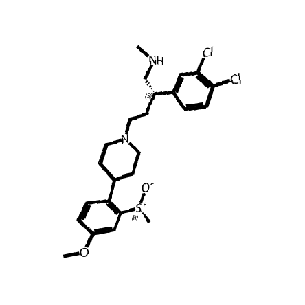 CNC[C@@H](CCN1CCC(c2ccc(OC)cc2[S@+](C)[O-])CC1)c1ccc(Cl)c(Cl)c1